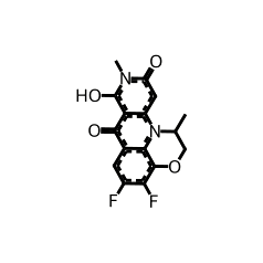 CC1COc2c(F)c(F)cc3c(=O)c4c(O)n(C)c(=O)cc4n1c23